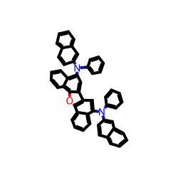 c1ccc(N(c2ccc3ccccc3c2)c2cc3c4cc(N(c5ccccc5)c5ccc6ccccc6c5)c5ccccc5c4oc3c3ccccc23)cc1